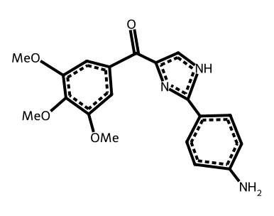 COc1cc(C(=O)c2c[nH]c(-c3ccc(N)cc3)n2)cc(OC)c1OC